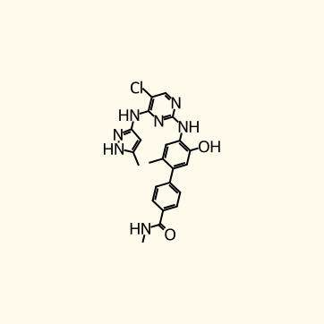 CNC(=O)c1ccc(-c2cc(O)c(Nc3ncc(Cl)c(Nc4cc(C)[nH]n4)n3)cc2C)cc1